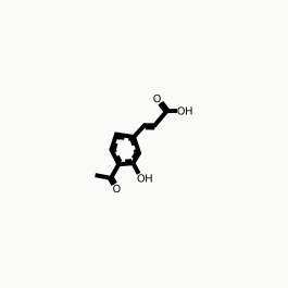 CC(=O)c1ccc(/C=C/C(=O)O)cc1O